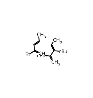 C=C(C=CC)CC.C=C(CCCC)C(=CC)CCCC